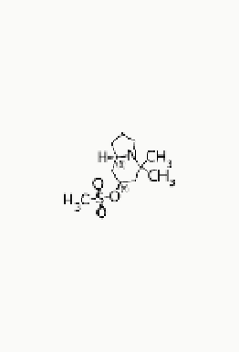 CC1(C)C[C@@H](OS(C)(=O)=O)C[C@@H]2CCCN21